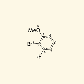 COc1c[c]cc(F)c1Br